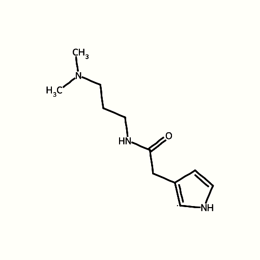 CN(C)CCCNC(=O)Cc1[c][nH]cc1